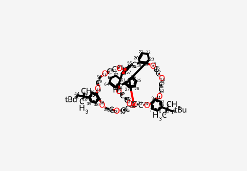 CC(C)(C)CC(C)(C)c1ccc2c(c1)OCCOCCOC1=C3C=CCC1c1cccc4c1OCCOCCOc1ccc(C(C)(C)CC(C)(C)C)cc1OCCOCCOc1c(cccc1C1CCC=C(C4)[C@@H]1OCCOCCO2)C3